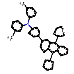 Cc1cccc(N(c2ccc(-c3ccc4c(-c5ccccc5)c5ccccc5c(-c5ccccc5)c4c3)cc2)c2cccc(C)c2)c1